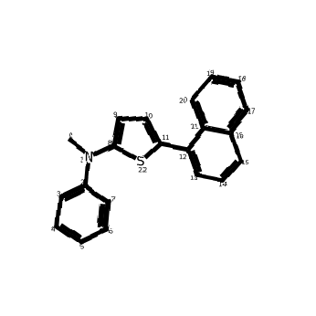 CN(c1ccccc1)c1ccc(-c2cccc3ccccc23)s1